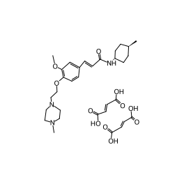 COc1cc(C=CC(=O)N[C@H]2CC[C@H](C)CC2)ccc1OCCN1CCN(C)CC1.O=C(O)C=CC(=O)O.O=C(O)C=CC(=O)O